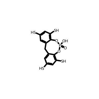 O=P1(O)Oc2c(S)cc(S)cc2Cc2cc(S)cc(S)c2O1